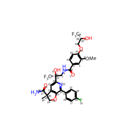 COc1cc(C(=O)NC[C@](O)(c2cc3c(c(-c4ccc(F)cc4)n2)OC[C@]3(C)C(N)=O)C(F)(F)F)ccc1OC[C@@H](O)C(F)(F)F